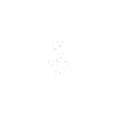 CC12C=CC=CC1c1c(c3ccccc3n1-c1cccc(-c3cccc4ccccc34)c1)-c1ccccc1O2